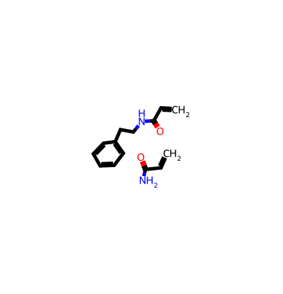 C=CC(=O)NCCc1ccccc1.C=CC(N)=O